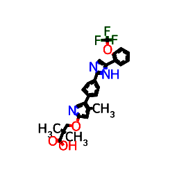 Cc1cc(OCC(C)(C)C(=O)O)ncc1-c1ccc(-c2ncc(-c3ccccc3OC(F)(F)F)[nH]2)cc1